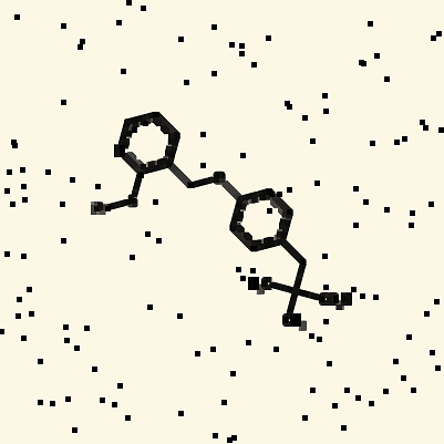 CC(C)Sc1ncccc1COc1ccc(CC(C)(C)C(=O)O)cc1